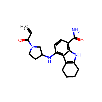 C=CC(=O)N1CCC(Nc2ccc(C(N)=O)c3[nH]c4c(c23)CCCC4)C1